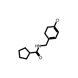 O=C(NCC1=CC=C(Cl)CC1)C1CCCC1